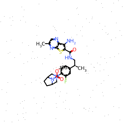 Cc1cnc2c(N)c(C(=O)NC[C@@H](C)c3ccc(N4CC5CCC(C4)N5C(=O)OC(C)(C)C)c(F)c3)sc2n1